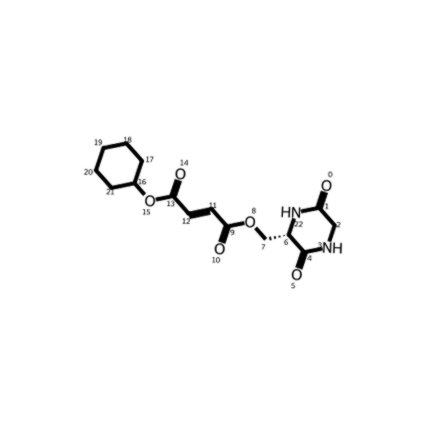 O=C1CNC(=O)[C@H](COC(=O)/C=C/C(=O)OC2CCCCC2)N1